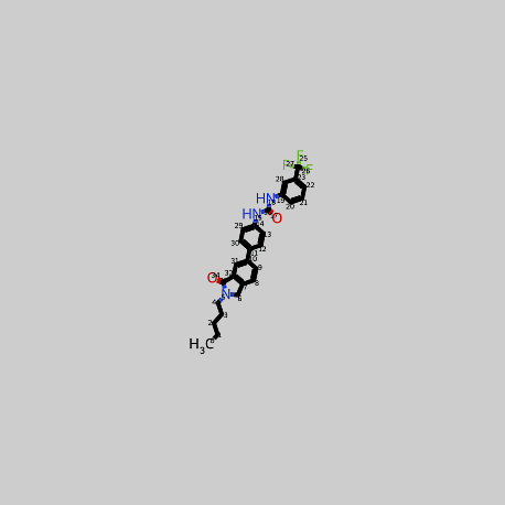 CCCCCN1Cc2ccc(-c3ccc(NC(=O)Nc4cccc(C(F)(F)F)c4)cc3)cc2C1=O